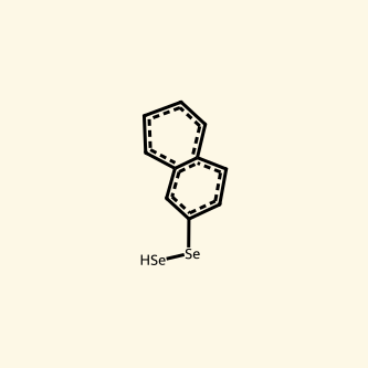 [SeH][Se]c1ccc2ccccc2c1